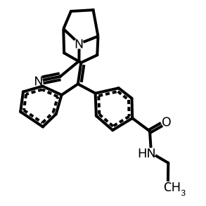 CCNC(=O)c1ccc(C(=C2CC3CCC(C2)N3CC#N)c2ccccc2)cc1